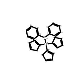 C1=CC[C]([Fe]([C]2=CC=CC2)([C]2=CC=CC2)[P](c2ccccc2)c2ccccc2)=C1